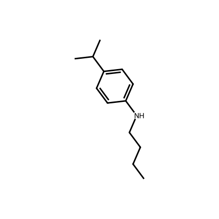 CCCCNc1ccc(C(C)C)cc1